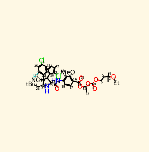 CCOC(C)(C)CCOC(=O)OC(C)OC(=O)c1ccc(NC(=O)[C@@H]2N[C@@H](CC(C)(C)C)[C@](C#N)(c3ccc(Cl)cc3F)C2C2C=CC=C2Cl)c(OC)c1